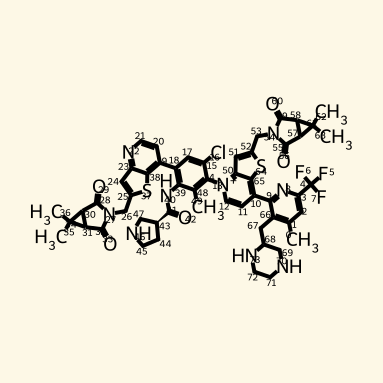 Cc1cc(C(F)(F)F)nc(-c2cc[n+](-c3c(Cl)cc(-c4ccnc5cc(CN6C(=O)C7C(C6=O)C7(C)C)sc45)c(NC(=O)[C@H]4CCNC4)c3C)c3cc(CN4C(=O)C5C(C4=O)C5(C)C)sc23)c1CC1CNCCN1